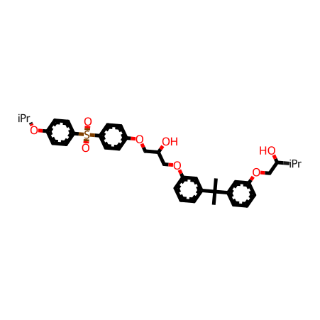 CC(C)Oc1ccc(S(=O)(=O)c2ccc(OCC(O)COc3cccc(C(C)(C)c4cccc(OCC(O)C(C)C)c4)c3)cc2)cc1